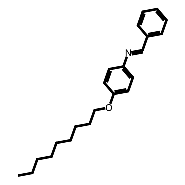 CCCCCCCCCOc1ccc(N=Cc2ccccc2)cc1